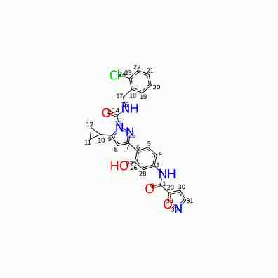 O=C(Nc1ccc(-c2cc(C3CC3)n(C(=O)NCc3ccccc3Cl)n2)c(O)c1)c1ccno1